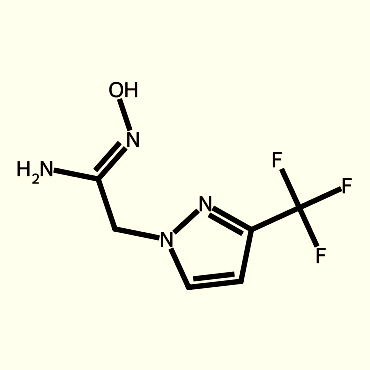 NC(Cn1ccc(C(F)(F)F)n1)=NO